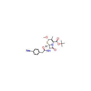 CO[C@H]1S[C@@H]2[C@@H](NC(=O)Cc3ccc(C#N)cc3)C(=O)N2C(C(=O)OC(C)(C)C)=C1C